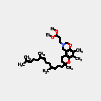 CCOC(CCN1COc2c(C)c(C)c3c(c2C1)CCC(C)(CCC=C(C)CCC=C(C)CCC=C(C)C)O3)OCC